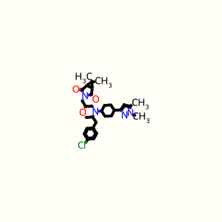 Cc1cc(C2CCC(N3CC(CN4C(=O)C5C(C4=O)C5(C)C)OCC3Cc3ccc(Cl)cc3)CC2)nn1C